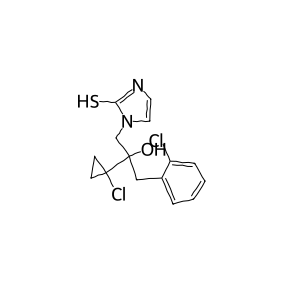 OC(Cc1ccccc1Cl)(Cn1ccnc1S)C1(Cl)CC1